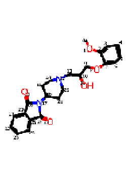 COc1ccccc1OCC(O)CN1CCC(N2C(=O)c3ccccc3C2=O)CC1